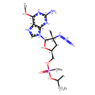 CCOC(=O)C(C)OP(=O)(OC)OC[C@@H]1C[C@@](C)(N=[N+]=[N-])[C@H](n2cnc3c(OCC)nc(N)nc32)O1